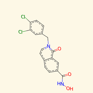 O=C(NO)c1ccc2ccn(Cc3ccc(Cl)c(Cl)c3)c(=O)c2c1